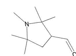 CN1C(C)(C)CC(C=O)C1(C)C